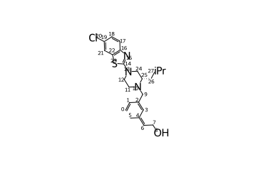 C=C/C(=C\C(C)=C/CO)CN1CCN(c2nc3ccc(Cl)cc3s2)C[C@@H]1CC(C)C